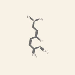 C=NC(=C)/C=C\C(Cl)=C/CN(CC)CCC